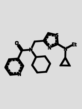 CCN(c1nc(CN(C(=O)c2cccnc2)C2CCCCC2)cs1)C1CC1